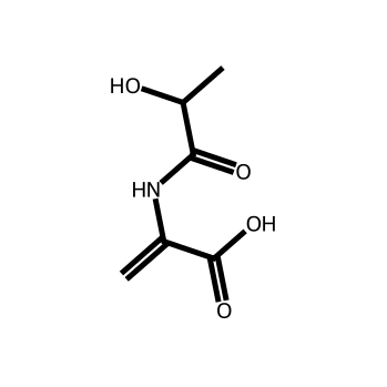 C=C(NC(=O)C(C)O)C(=O)O